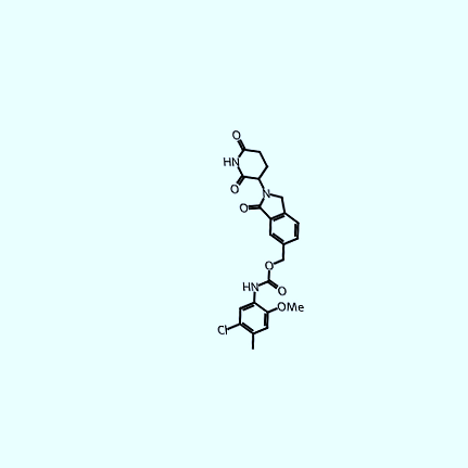 COc1cc(C)c(Cl)cc1NC(=O)OCc1ccc2c(c1)C(=O)N(C1CCC(=O)NC1=O)C2